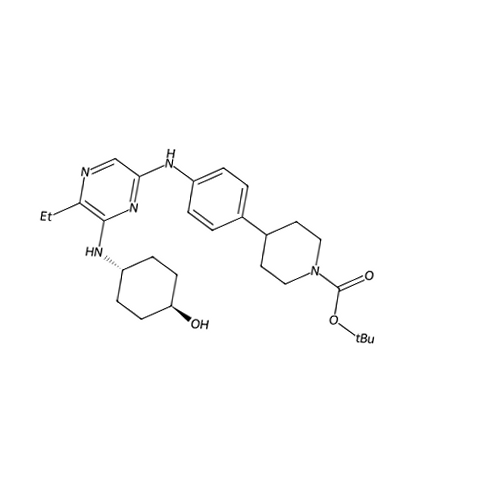 CCc1ncc(Nc2ccc(C3CCN(C(=O)OC(C)(C)C)CC3)cc2)nc1N[C@H]1CC[C@H](O)CC1